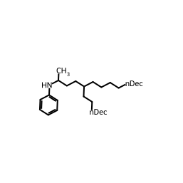 CCCCCCCCCCCCCCC(CCCCCCCCCCCC)CCC(C)Nc1ccccc1